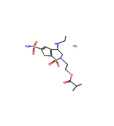 CCN[C@H]1CN(CCOC(=O)C(C)C)S(=O)(=O)c2sc(S(N)(=O)=O)cc21.Cl